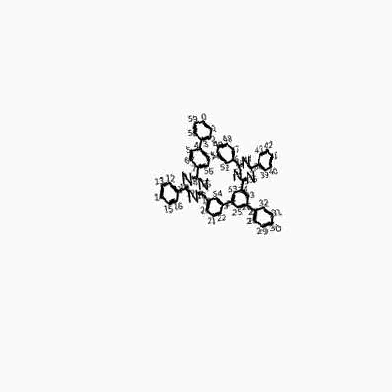 c1ccc(-c2ccc(-c3nc(-c4ccccc4)nc(-c4cccc(-c5cc(-c6ccccc6)cc(-c6nc(-c7ccccc7)nc(-c7ccccc7)n6)c5)c4)n3)cc2)cc1